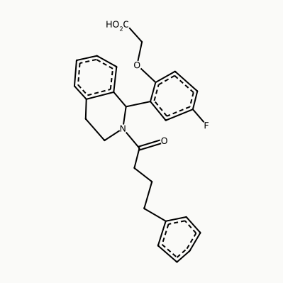 O=C(O)COc1ccc(F)cc1C1c2ccccc2CCN1C(=O)CCCc1ccccc1